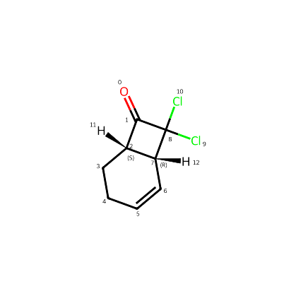 O=C1[C@H]2CCC=C[C@H]2C1(Cl)Cl